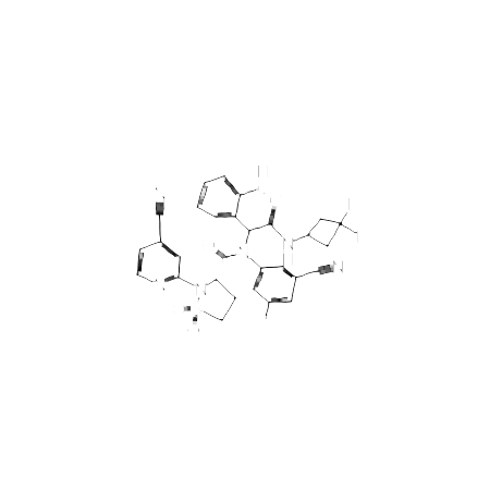 Cc1ccccc1C(C(=O)NC1CC(F)(F)C1)N(C(=O)[C@@H]1CCS(=O)(=O)N1c1cc(C#N)ccn1)c1cc(F)cc(C#N)c1